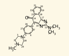 CN1CCN(c2ccc(C3=C4N=C(N(C)C)N=C4c4ccccc4C3=O)cc2)CC1